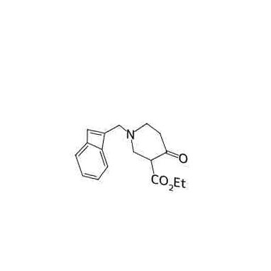 CCOC(=O)C1CN(CC2=Cc3ccccc32)CCC1=O